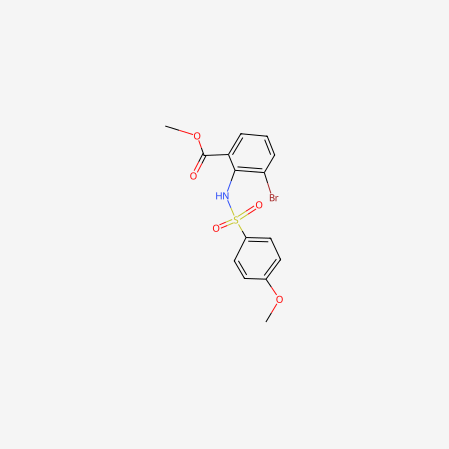 COC(=O)c1cccc(Br)c1NS(=O)(=O)c1ccc(OC)cc1